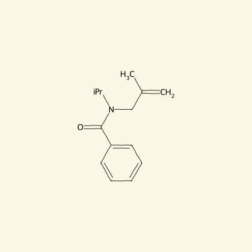 C=C(C)CN(C(=O)c1ccccc1)C(C)C